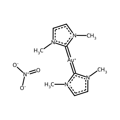 Cn1ccn(C)[c]1=[Au+]=[c]1n(C)ccn1C.O=[N+]([O-])[O-]